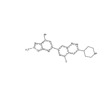 Cc1cn2nc(-c3cc(F)c4cc(C5CCNCC5)nnc4c3)cc(C(C)C)c2n1